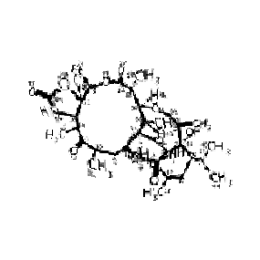 C=C1CNC(=O)O[C@]2(C)C[C@@H](C)C(=O)C(C)C3NC(=O)O[C@]3(C)[C@@H](CC)OC(=O)[C@H](C)[C@@H](OC1)[C@H](C)[C@H]2O[C@@H]1O[C@H](C)C[C@H](N(C)C)[C@H]1O